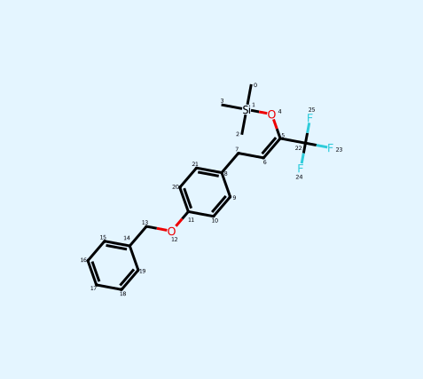 C[Si](C)(C)OC(=CCc1ccc(OCc2ccccc2)cc1)C(F)(F)F